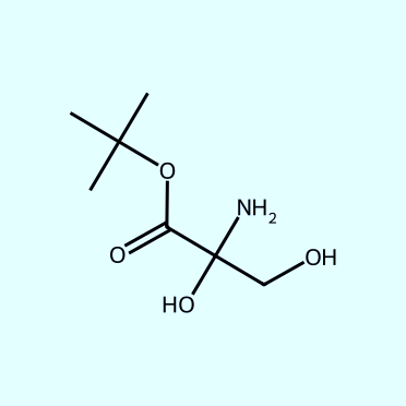 CC(C)(C)OC(=O)C(N)(O)CO